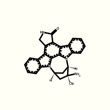 N#C[C@]1(N)C[C@@H]2C[C@H]1n1c3ccccc3c3c4c(c5c6ccccc6n2c5c31)CNC4=O